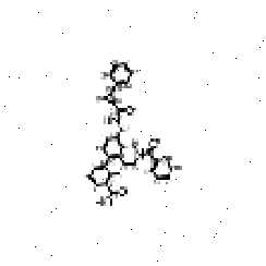 Cc1c(C(=O)O)cccc1-c1ccc(CNC(=O)C2CC2c2ccccc2)c2c1CCN(C(=O)c1ccccn1)C2